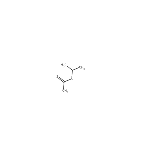 CC(=S)SC(C)C